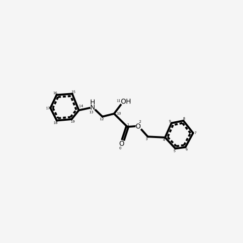 O=C(OCc1ccccc1)C(O)CNc1ccccc1